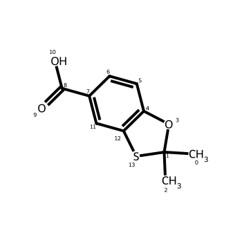 CC1(C)Oc2ccc(C(=O)O)cc2S1